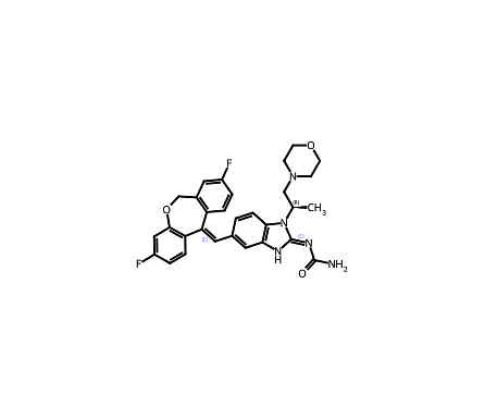 C[C@H](CN1CCOCC1)n1/c(=N/C(N)=O)[nH]c2cc(/C=C3\c4ccc(F)cc4COc4cc(F)ccc43)ccc21